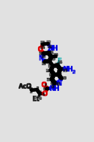 CC[C@@H](CCOC(C)=O)OC(=O)Nc1cc2cc(-c3cnc4c(c3C)NCCO4)c(F)c(N)c2cn1